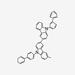 Cc1ccc2c(c1)c1cc(-c3ccc4c(c3)c3ccccc3n4-c3cccc(-c4ccccc4)c3)ccc1n2-c1ccc(C2=CCCC=C2)cc1